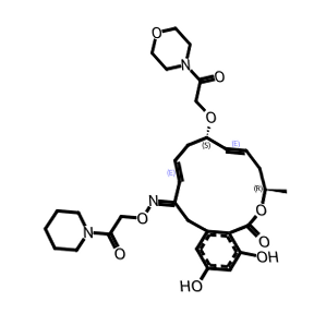 C[C@@H]1C/C=C/[C@@H](OCC(=O)N2CCOCC2)C/C=C/C(=NOCC(=O)N2CCCCC2)Cc2cc(O)cc(O)c2C(=O)O1